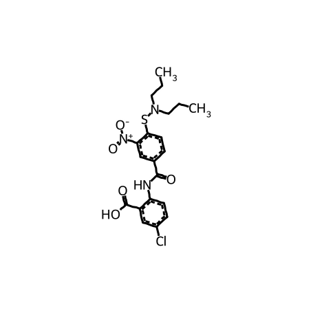 CCCN(CCC)Sc1ccc(C(=O)Nc2ccc(Cl)cc2C(=O)O)cc1[N+](=O)[O-]